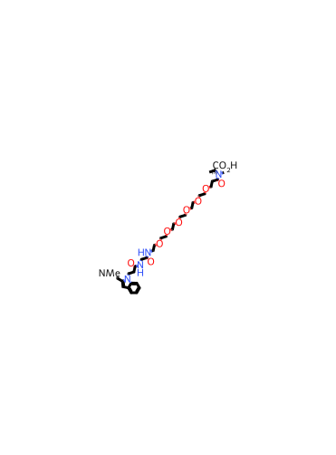 CNCc1cc2ccccc2n1CCC(=O)NCC(=O)NCCOCCOCCOCCOCCOCCOCCC(=O)N(C)[C@@H](C)C(=O)O